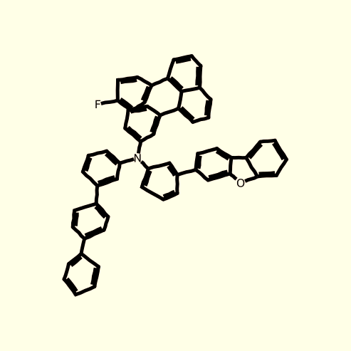 Fc1ccc(-c2cccc3cccc(-c4cccc(N(c5cccc(-c6ccc(-c7ccccc7)cc6)c5)c5cccc(-c6ccc7c(c6)oc6ccccc67)c5)c4)c23)cc1